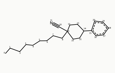 CCCCCCCCCC1(C#N)CCC(c2cc[c]cc2)CC1